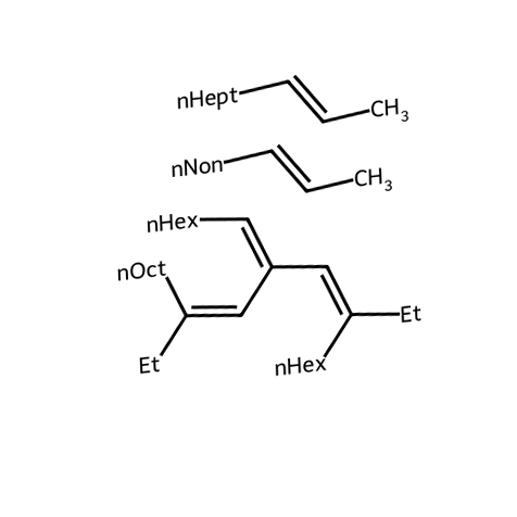 CC=CCCCCCCC.CC=CCCCCCCCCC.CCCCCCC=C(C=C(CC)CCCCCC)C=C(CC)CCCCCCCC